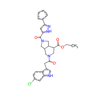 CCOC(=O)C1CN(C(=O)Cc2c[nH]c3cc(Cl)ccc23)CC2CN(C(=O)c3cc(-c4ccccc4)n[nH]3)CC21